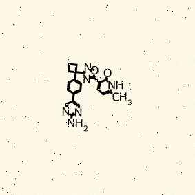 Cc1ccc(-c2nc(C3(c4ccc(-c5cnc(N)nc5)cc4)CCC3)no2)c(=O)[nH]1